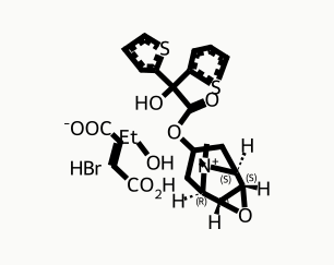 Br.CCO.C[N+]1(C)[C@@H]2CC(OC(=O)C(O)(c3cccs3)c3cccs3)C[C@H]1[C@@H]1O[C@@H]12.O=C([O-])C=CC(=O)O